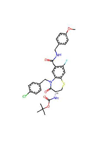 COc1ccc(CNC(=O)c2cc3c(cc2F)SC[C@H](NC(=O)OC(C)(C)C)C(=O)N3Cc2ccc(Cl)cc2)cc1